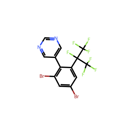 FC(F)(F)C(F)(c1cc(Br)[c]c(Br)c1-c1cncnc1)C(F)(F)F